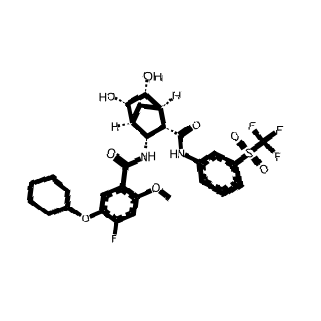 COc1cc(F)c(OC2CCCCC2)cc1C(=O)N[C@@H]1[C@@H]2C[C@@H]([C@@H](O)[C@H]2O)[C@@H]1C(=O)Nc1cccc(S(=O)(=O)C(F)(F)F)c1